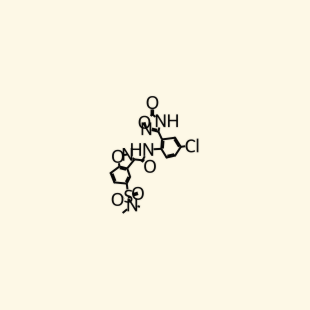 CN(C)S(=O)(=O)c1ccc2onc(C(=O)Nc3ccc(Cl)cc3-c3noc(=O)[nH]3)c2c1